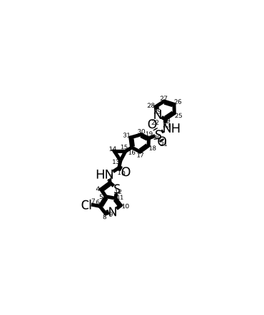 O=C(Nc1cc2c(Cl)cncc2s1)C1CC1c1ccc(S(=O)(=O)Nc2ccccn2)cc1